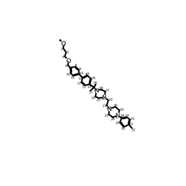 COCCCOCc1ccc(-c2ccc(C(C)(C)N3CCN(CCN4CCN(c5ccc(C)cc5)CC4)CC3)cc2)cc1